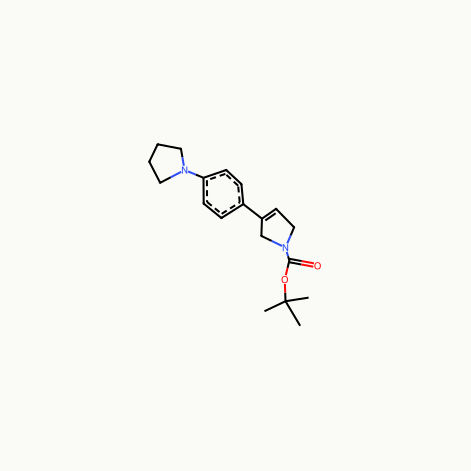 CC(C)(C)OC(=O)N1CC=C(c2ccc(N3CCCC3)cc2)C1